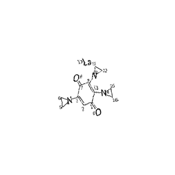 O=C1C=C(N2CC2)C(=O)C(N2CC2)=C1N1CC1.[La]